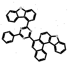 c1ccc(-c2nc(-c3cc4ccccc4c4c3ccc3oc5ccccc5c34)nc(-c3cccc4oc5ccccc5c34)n2)cc1